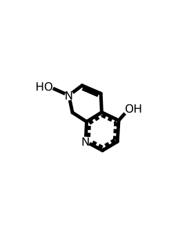 Oc1ccnc2c1C=CN(O)C2